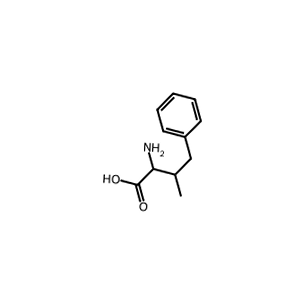 CC(Cc1ccccc1)C(N)C(=O)O